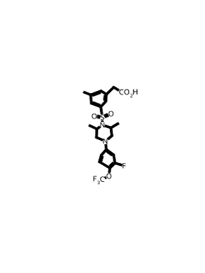 Cc1cc(CC(=O)O)cc(S(=O)(=O)N2C(C)CN(c3ccc(OC(F)(F)F)c(F)c3)CC2C)c1